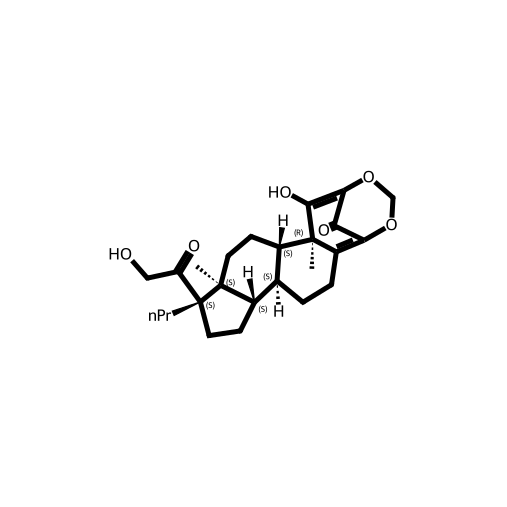 CCC[C@]1(C(=O)CO)CC[C@H]2[C@@H]3CCC4=C5OCOC(=C(O)[C@]4(C)[C@H]3CC[C@@]21C)C5=O